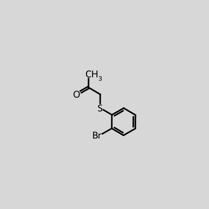 CC(=O)CSc1ccccc1Br